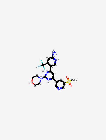 CS(=O)(=O)c1cncc(-c2cc(-c3cnc(N)cc3C(F)(F)F)nc(N3CCOCC3)n2)c1